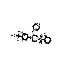 C[C@@](O)(c1ccc(N2CCN(S(=O)(=O)C3=CC=CCC3=S)C[C@H]2CN2CCOCC2)cc1)C(F)(F)F